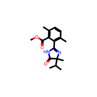 COC(=O)c1c(C)ccc(C)c1C1=NC(C)(C(C)C)C(=O)N1